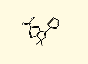 CC1(C)C=C(c2ccccc2)c2cc([N+](=O)[O-])ccc21